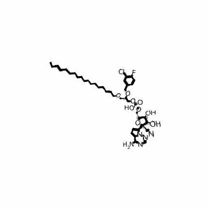 CCCCCCCCCCCCCCCCCCOC[C@H](COP(=O)(O)OC[C@H]1O[C@@](C#N)(c2ccc3c(N)ncnn23)[C@H](O)[C@@H]1O)OCc1ccc(F)c(Cl)c1